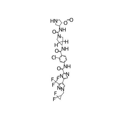 Cn1c(-c2cn(CC3CC3(F)F)nc2C(F)(F)F)cnc1C(=O)Nc1ccc(C(=O)N[C@@H]2[C@@H]3CN(C(=O)N[C@H]4CNC[C@@H]4OC=O)C[C@@H]32)c(Cl)c1